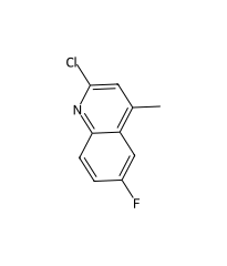 Cc1cc(Cl)nc2ccc(F)cc12